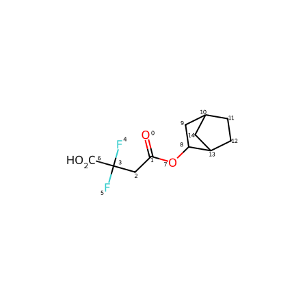 O=C(CC(F)(F)C(=O)O)OC1CC2CCC1C2